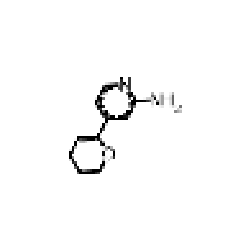 Nc1cc(C2=CCCCO2)ccn1